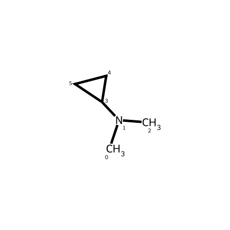 CN(C)C1CC1